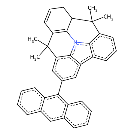 CC1(C)C2=C3C(CC=C2)C(C)(C)c2cccc4c5cc(-c6c7ccccc7cc7ccccc67)cc1c5n3c24